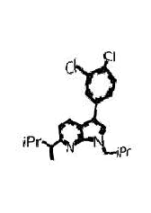 C=C(c1ccc2c(-c3ccc(Cl)c(Cl)c3)cn(CC(C)C)c2n1)C(C)C